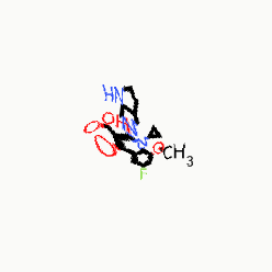 COc1cc(F)cc2c(=O)c(C(=O)O)c(N3CC4CCCNC4C3)n(C3CC3)c12